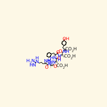 C[C@H](NC(=O)[C@@H](N)CCCNC(=N)N)C(=O)N[C@@H](CC(=O)O)C(=O)N[C@@H](Cc1ccccc1)C(=O)N[C@@H](CC(=O)O)C(=O)N[C@@H](Cc1ccc(O)cc1)C(=O)O